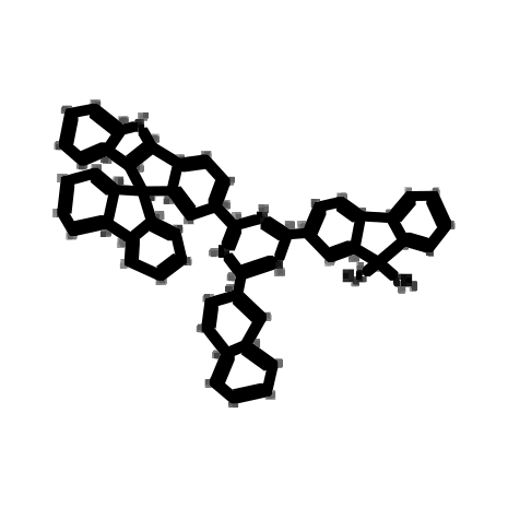 CC1(C)c2ccccc2-c2ccc(-c3nc(-c4ccc5c(c4)C4(c6ccccc6-c6ccccc64)c4c-5sc5ccccc45)nc(-c4ccc5ccccc5c4)n3)cc21